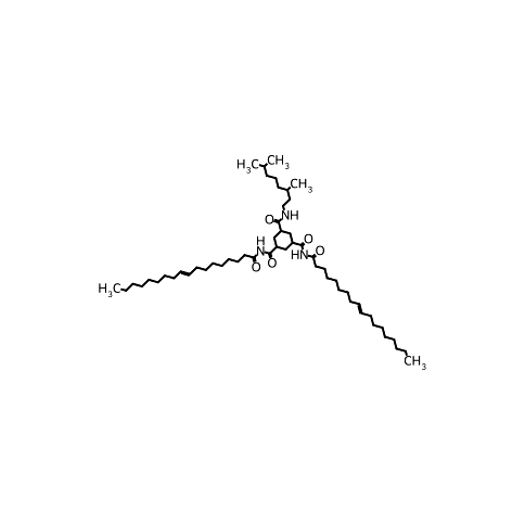 CCCCCCCCC=CCCCCCCCC(=O)NC(=O)C1CC(C(=O)NCCC(C)CCCC(C)C)CC(C(=O)NC(=O)CCCCCCCC=CCCCCCCCC)C1